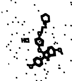 COc1ccc(-c2sc3cc(OC)ccc3c2Oc2ccc(OCCCN3CCCCC3)cc2)cc1.Cl